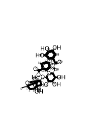 C[C@@]12C[C@@]3(O)O[C@@H](O1)[C@]1(COC(=O)c4ccccc4)[C@@H]3C[C@]12O[C@@H]1O[C@H](COC(=O)c2cc(O)c(O)c(O)c2)[C@@H](O)[C@H](O)[C@H]1O